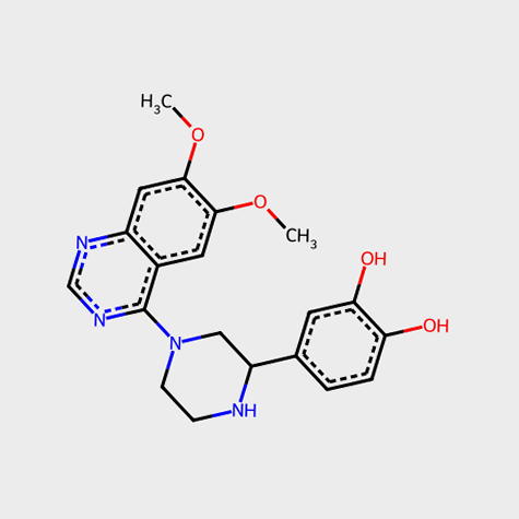 COc1cc2ncnc(N3CCNC(c4ccc(O)c(O)c4)C3)c2cc1OC